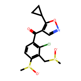 C[S+]([O-])Cc1c([S+](C)[O-])ccc(C(=O)c2cnoc2C2CC2)c1Cl